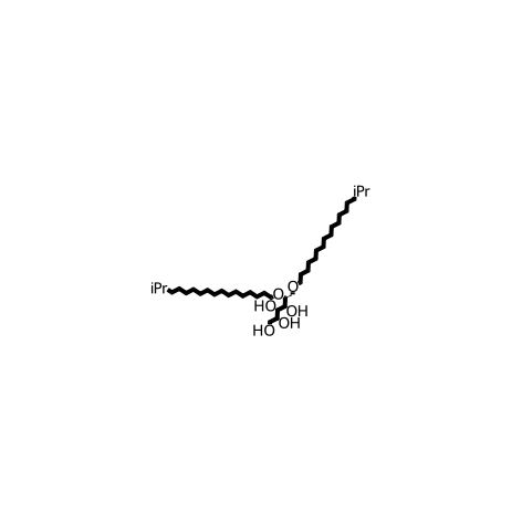 CC(C)CCCCCCCCCCCCCCCOC[C@@H](OCCCCCCCCCCCCCCCC(C)C)[C@@H](O)[C@H](O)[C@@H](O)CO